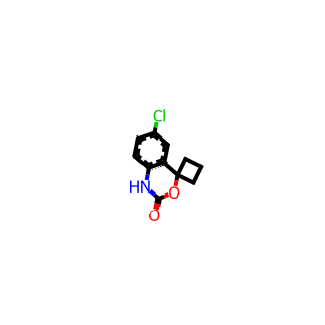 O=C1Nc2ccc(Cl)cc2C2(CCC2)O1